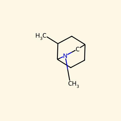 CC1CC2CCC1N(C)C2